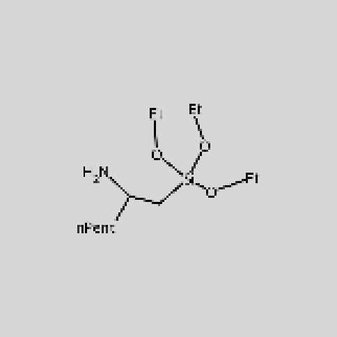 CCCCCC(N)C[Si](OCC)(OCC)OCC